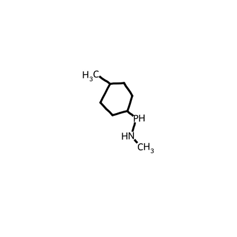 CNPC1CCC(C)CC1